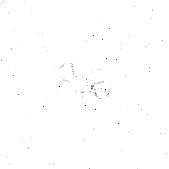 C[C@@]12c3ccccc3C[C@@H](c3ccccc31)[N+]2(C)C